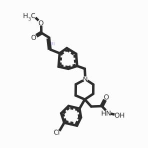 COC(=O)/C=C/c1ccc(CN2CCC(CC(=O)NO)(c3ccc(Cl)cc3)CC2)cc1